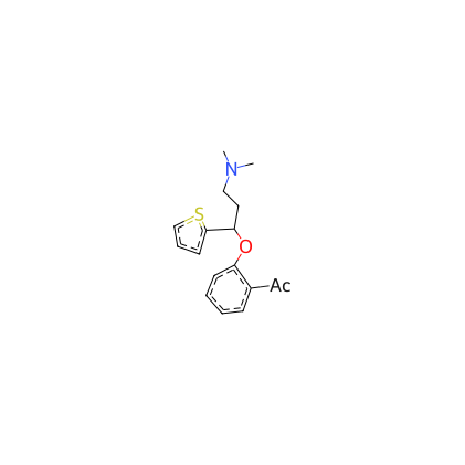 CC(=O)c1ccccc1OC(CCN(C)C)c1cccs1